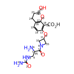 NC(=O)NC[C@@H](N)C(=O)N1CC(Oc2ccc3c(c2C(=O)O)OB(O)CC3)C1